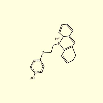 Oc1ccc(OCCN2C3=C(C=C4C=CC=C[C@@H]42)CCC=C3)cc1